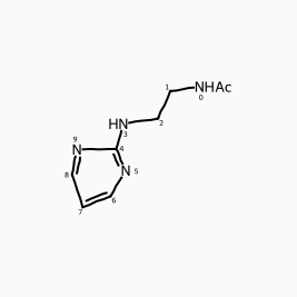 CC(=O)NCCNc1ncccn1